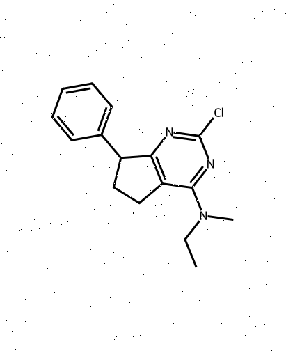 CCN(C)c1nc(Cl)nc2c1CCC2c1ccccc1